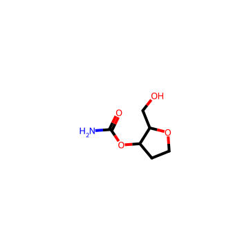 NC(=O)OC1CCOC1CO